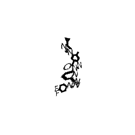 Cc1cc2ncn(-c3cccc(-c4nncn4C4CCC(F)(F)CC4)n3)c(=O)c2cc1-n1cnc(C2CC2)c1